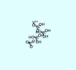 OB(O)O.OB(O)O.[O-]B([O-])O.[O-]B([O-])[O-].[V+5]